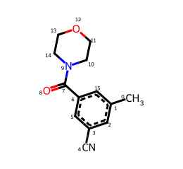 Cc1cc(C#N)cc(C(=O)N2CCOCC2)c1